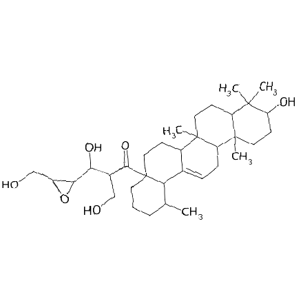 CC1CCCC2(C(=O)C(CO)C(O)C3OC3CO)CCC3C(=CCC4C3(C)CCC3C(C)(C)C(O)CCC34C)C12